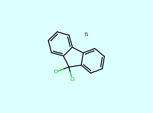 ClC1(Cl)c2ccccc2-c2ccccc21.[Ti]